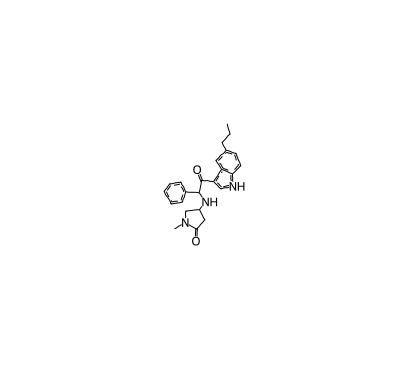 CCCc1ccc2[nH]cc(C(=O)C(NC3CC(=O)N(C)C3)c3ccccc3)c2c1